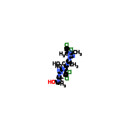 Cc1nn(C(C)c2ccc(Cl)cc2Cl)c2nc(N3CCC(N4CC(CC(c5ccc(Cl)cc5Cl)n5nc(C#N)c6ncc(N7CCC(N8CCCC8CO)C(C)C7)nc65)CC4C(=O)O)C(C)C3)cnc12